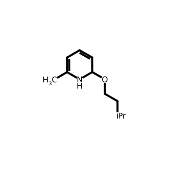 CC1=CC=CC(OCCC(C)C)N1